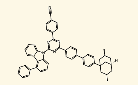 C[C@@H]1C[C@@H]2C[C@H](C)CC(c3ccc(-c4ccc(-c5nc(-c6ccc(C#N)cc6)nc(-n6c7ccccc7c7c(-c8ccccc8)cccc76)n5)cc4)cc3)(C1)C2